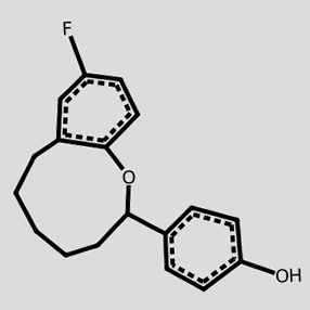 Oc1ccc(C2CCCCCc3cc(F)ccc3O2)cc1